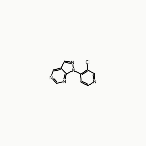 Clc1cnccc1-n1ncc2cncnc21